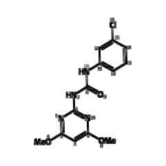 COc1cc(OC)nc(NC(=O)Nc2cccc(Cl)c2)n1